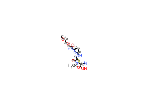 CCn1c(=C(C#N)C(=O)O)sc(=CNc2cccc(NC(=O)COCCOC)n2)c1=O